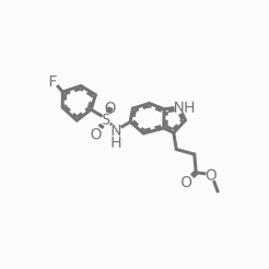 COC(=O)CCc1c[nH]c2ccc(NS(=O)(=O)c3ccc(F)cc3)cc12